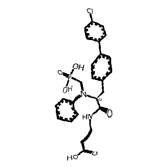 O=C(O)CCNC(=O)[C@H](Cc1ccc(-c2ccc(Cl)cc2)cc1)N(CP(=O)(O)O)c1ccccc1